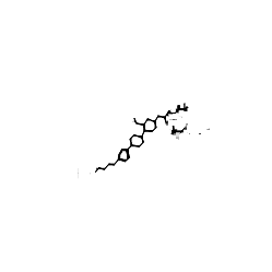 C=C(C)C(=O)OCC(COC(=O)C(=C)CO)CC1CCC(C2CCC(c3ccc(CCCCC)cc3)CC2)C(CC)C1